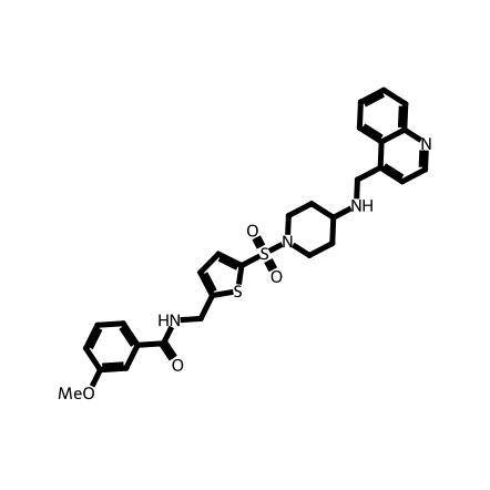 COc1cccc(C(=O)NCc2ccc(S(=O)(=O)N3CCC(NCc4ccnc5ccccc45)CC3)s2)c1